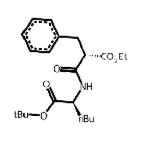 CCCC[C@H](NC(=O)[C@H](Cc1ccccc1)C(=O)OCC)C(=O)OC(C)(C)C